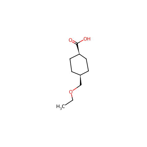 CCOC[C@H]1CC[C@@H](C(=O)O)CC1